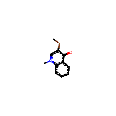 CSc1cn(C)c2ccccc2c1=O